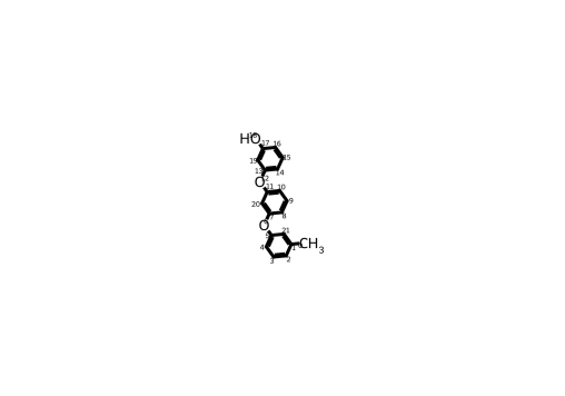 Cc1cccc(Oc2cccc(Oc3cccc(O)c3)c2)c1